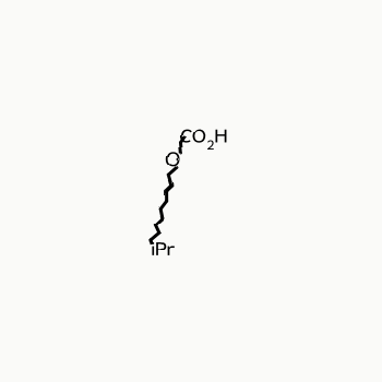 CC(C)CCCCCCCCCCOCCC(=O)O